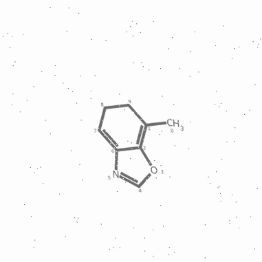 CC1=c2ocnc2=CCC1